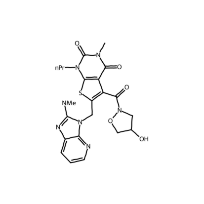 CCCn1c(=O)n(C)c(=O)c2c(C(=O)N3CC(O)CO3)c(Cn3c(NC)nc4cccnc43)sc21